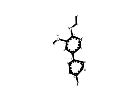 CCOc1ncc(-c2ccc(F)cc2)cc1OC